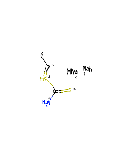 CC=[SH]C(N)=S.[NaH].[NaH]